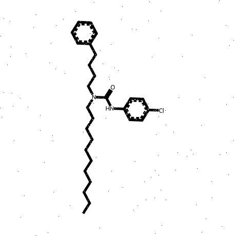 CCCCCCCCCCCN(CCCCc1ccccc1)C(=O)Nc1ccc(Cl)cc1